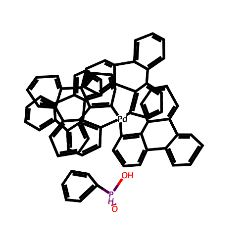 O=[PH](O)c1ccccc1.c1ccc2c(c1)c1ccccc1c1[c]([Pd]([c]3cccc4c5ccccc5c5ccccc5c34)([c]3cccc4c5ccccc5c5ccccc5c34)[c]3cccc4c5ccccc5c5ccccc5c34)cccc21